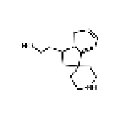 OCCC1CC2(CCNCC2)c2ccccc21